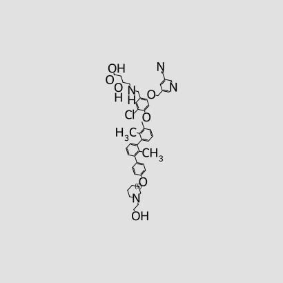 Cc1c(COc2cc(OCc3cncc(C#N)c3)c(CNCC(O)CC(=O)O)cc2Cl)cccc1-c1cccc(-c2ccc(O[C@H]3CCCN(CCO)C3)cc2)c1C